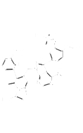 CNc1ncnc2c1c(-c1ccc(OC)c(NS(C)(=O)=O)c1)nn2[C@@H](C)c1cc2scc(C)n2c(=O)c1-c1cccc(P)c1